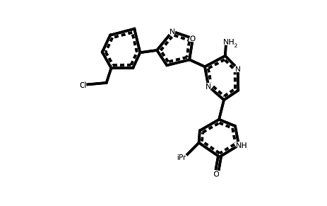 CC(C)c1cc(-c2cnc(N)c(-c3cc(-c4cccc(CCl)c4)no3)n2)c[nH]c1=O